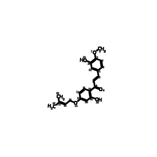 COc1ccc(/C=C/C(=O)c2ccc(OCC=C(C)C)cc2O)cc1O